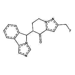 O=C1c2cc(CF)nn2CCC1C1c2ccccc2-c2cncn21